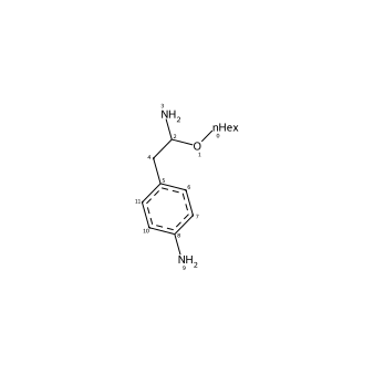 CCCCCCOC(N)Cc1ccc(N)cc1